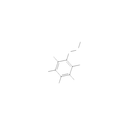 COBc1c(F)c(F)c(F)c(F)c1F